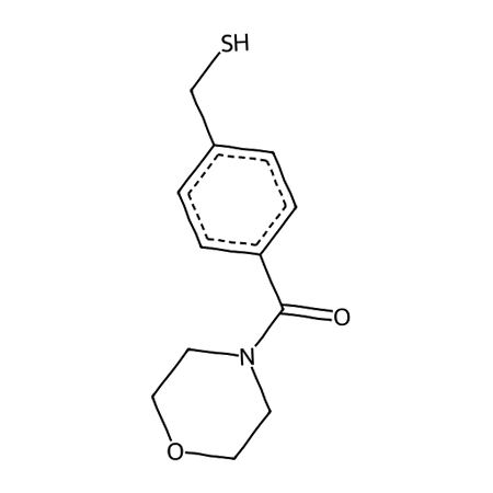 O=C(c1ccc(CS)cc1)N1CCOCC1